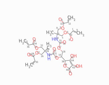 C=CC(=O)OCC(C)(COC(=O)C=C)NC(=O)OCC(OC(=O)NC(C)(COC(=O)C=C)COC(=O)C=C)C1OC(=O)C(O)=C1O